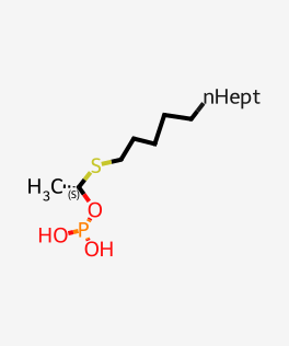 CCCCCCCCCCCCS[C@@H](C)OP(O)O